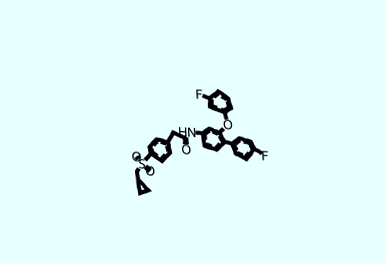 O=C(Cc1ccc(S(=O)(=O)CC2CC2)cc1)Nc1ccc(-c2ccc(F)cc2)c(Oc2cccc(F)c2)c1